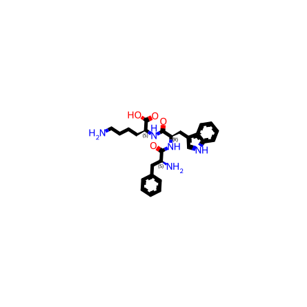 NCCCC[C@H](NC(=O)[C@@H](Cc1c[nH]c2ccccc12)NC(=O)[C@@H](N)Cc1ccccc1)C(=O)O